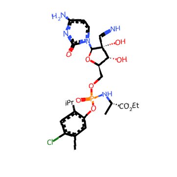 CCOC(=O)[C@H](C)NP(=O)(OC[C@H]1OC(n2ccc(N)nc2=O)[C@@](O)(C=N)[C@@H]1O)Oc1cc(C)c(Cl)cc1C(C)C